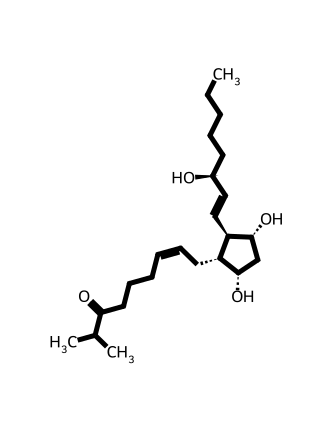 CCCCC[C@H](O)/C=C/[C@@H]1[C@@H](C/C=C\CCCC(=O)C(C)C)[C@@H](O)C[C@H]1O